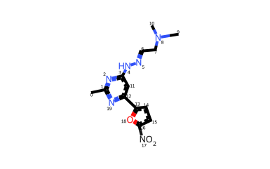 Cc1nc(NN=CCN(C)C)cc(-c2ccc([N+](=O)[O-])o2)n1